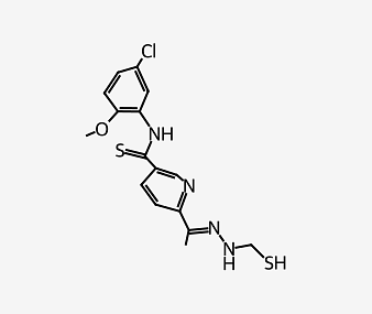 COc1ccc(Cl)cc1NC(=S)c1ccc(C(C)=NNCS)nc1